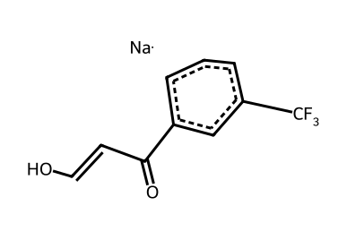 O=C(C=CO)c1cccc(C(F)(F)F)c1.[Na]